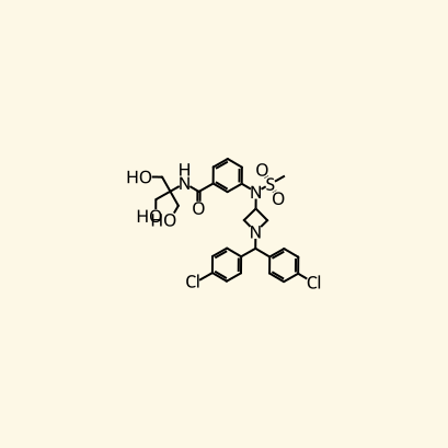 CS(=O)(=O)N(c1cccc(C(=O)NC(CO)(CO)CO)c1)C1CN(C(c2ccc(Cl)cc2)c2ccc(Cl)cc2)C1